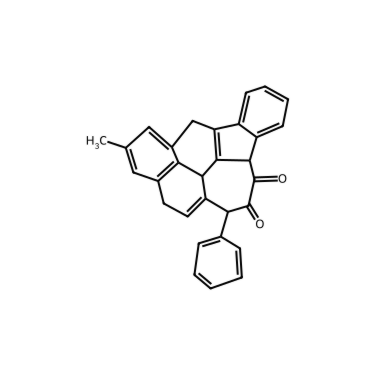 Cc1cc2c3c(c1)CC1=C4C(C(=O)C(=O)C(c5ccccc5)C(=CC2)C43)c2ccccc21